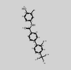 Cc1cc(NC(=O)c2ccc(-c3ccc(C(F)(F)F)cc3F)cc2)ccc1O